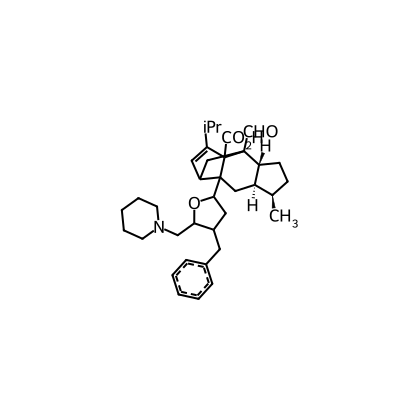 CC(C)C1=CC2CC3(C=O)[C@@H]4CC[C@@H](C)[C@H]4CC2(C2CC(Cc4ccccc4)C(CN4CCCCC4)O2)C13C(=O)O